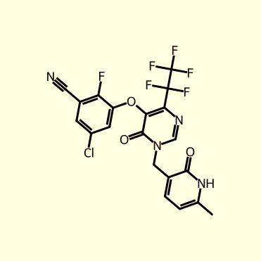 Cc1ccc(Cn2cnc(C(F)(F)C(F)(F)F)c(Oc3cc(Cl)cc(C#N)c3F)c2=O)c(=O)[nH]1